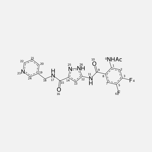 CC(=O)Nc1cc(F)c(F)cc1C(=O)Nc1cc(C(=O)NCc2cccnc2)n[nH]1